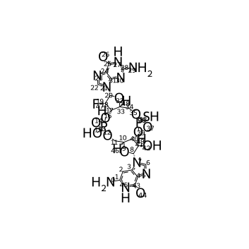 Nc1cc2c(ncn2[C@@H]2O[C@@H]3COP(=O)(O)O[C@H]4[C@@H](F)[C@H](n5cnc6c(=O)[nH]c(N)nc65)O[C@@H]4COP(=O)(S)O[C@H]3[C@H]2O)c(=O)[nH]1